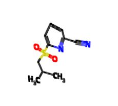 CC(C)CS(=O)(=O)c1cccc(C#N)n1